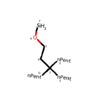 CCCCCC(CCCCC)(CCCCC)CCO[SiH3]